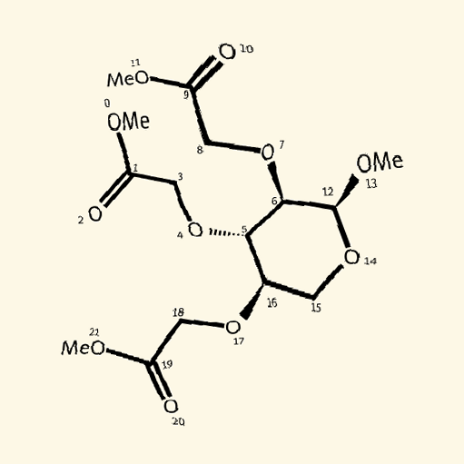 COC(=O)CO[C@@H]1[C@@H](OCC(=O)OC)[C@@H](OC)OC[C@H]1OCC(=O)OC